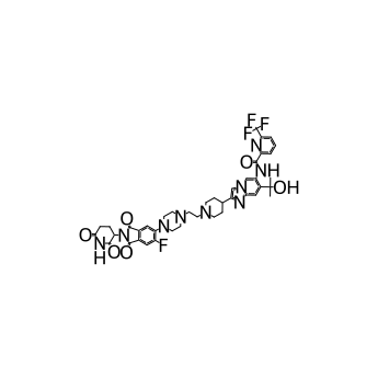 CC(C)(O)c1cc2nc(C3CCN(CCN4CCN(c5cc6c(cc5F)C(=O)N(C5CCC(=O)NC5=O)C6=O)CC4)CC3)cn2cc1NC(=O)c1cccc(C(F)(F)F)n1